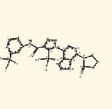 O=C(Nc1ccnc(C(F)(F)F)c1)c1cnn(-c2cnc(N3CCCC3=O)c3sccc23)c1C(F)(F)F